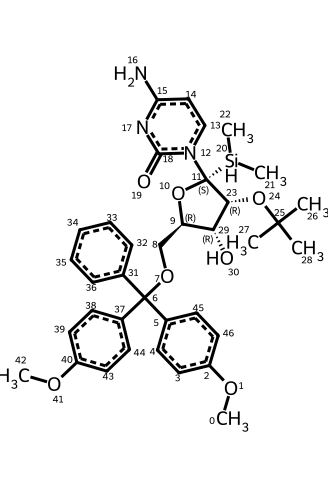 COc1ccc(C(OC[C@H]2O[C@](n3ccc(N)nc3=O)([SiH](C)C)[C@H](OC(C)(C)C)[C@@H]2O)(c2ccccc2)c2ccc(OC)cc2)cc1